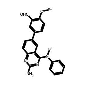 CCOc1ccc(-c2ccc3nc(N)nc(N(Br)c4ccccc4)c3c2)cc1C=O